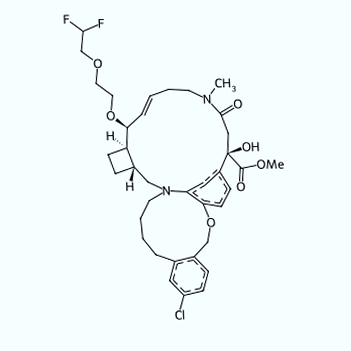 COC(=O)[C@@]1(O)CC(=O)N(C)CC/C=C/[C@H](OCCOCC(F)F)[C@@H]2CC[C@H]2CN2CCCCc3cc(Cl)ccc3COc3ccc1cc32